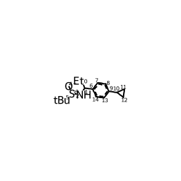 CCC(N[S+]([O-])C(C)(C)C)c1ccc(C2CC2)cc1